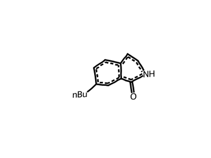 CCCCc1ccc2cc[nH]c(=O)c2c1